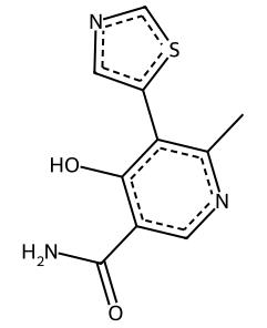 Cc1ncc(C(N)=O)c(O)c1-c1cncs1